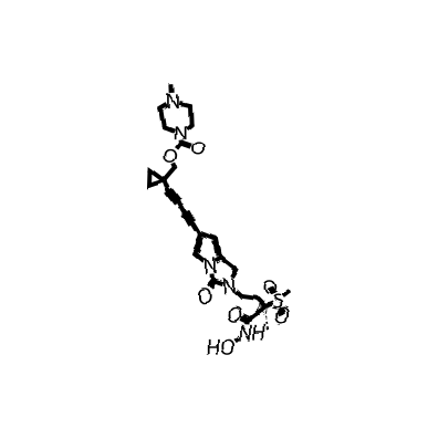 CN1CCN(C(=O)OCC2(C#CC#Cc3cc4n(c3)C(=O)N(CC[C@](C)(C(=O)NO)S(C)(=O)=O)C4)CC2)CC1